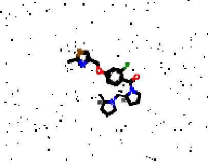 Cc1nc(COc2ccc(C(=O)N3CCC[C@H]3CN3CCC[C@H]3C)c(F)c2)cs1